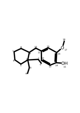 CCC1(CC)CCCCC1[CH]c1ccc(O)c(OC)c1